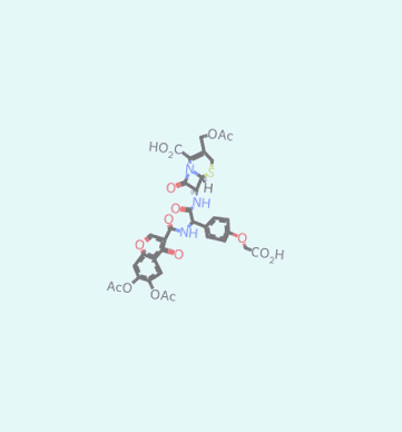 CC(=O)OCC1=C(C(=O)O)N2C(=O)[C@@H](NC(=O)C(NC(=O)c3coc4cc(OC(C)=O)c(OC(C)=O)cc4c3=O)c3ccc(OCC(=O)O)cc3)[C@H]2SC1